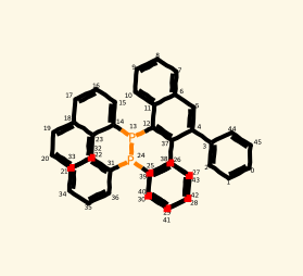 c1ccc(-c2cc3ccccc3c(P(c3cccc4ccccc34)P(c3ccccc3)c3ccccc3)c2-c2ccccc2)cc1